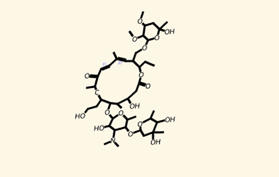 CCC1OC(=O)CC(O)C(C)C(OC2OC(C)C(OC3CC(C)(O)C(O)C(C)O3)C(N(C)C)C2O)C(CCO)CC(C)C(=O)/C=C/C(C)=C/C1COC1OC(C)(O)CC(OC)C1OC